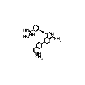 CN/C=C\c1ccc(-c2ccc3c(N)ncc(C#Cc4cccc(C(=N)NO)c4)c3c2)cc1